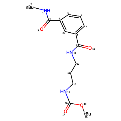 CCCCNC(=O)c1cccc(C(=O)NCCCNC(=O)OC(C)(C)C)c1